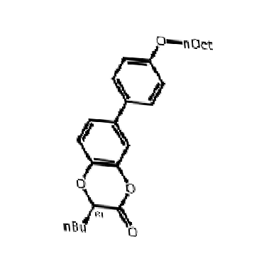 CCCCCCCCOc1ccc(-c2ccc3c(c2)OC(=O)[C@@H](CCCC)O3)cc1